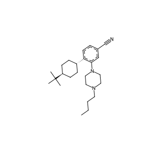 CCCCN1CCN(c2cc(C#N)ccc2[C@H]2CC[C@H](C(C)(C)C)CC2)CC1